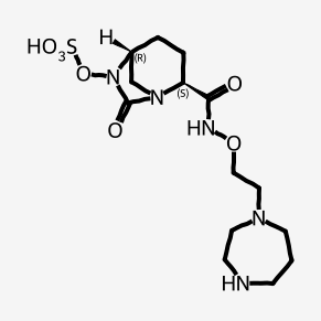 O=C(NOCCN1CCCNCC1)[C@@H]1CC[C@@H]2CN1C(=O)N2OS(=O)(=O)O